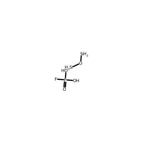 O=P(O)(O)F.[SiH3]O[SiH3]